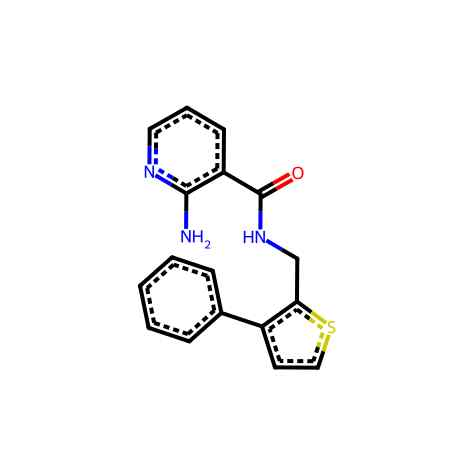 Nc1ncccc1C(=O)NCc1sccc1-c1ccccc1